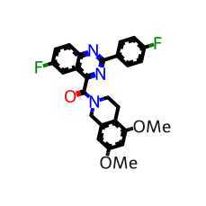 COc1cc2c(c(OC)c1)CCN(C(=O)c1nc(-c3ccc(F)cc3)nc3ccc(F)cc13)C2